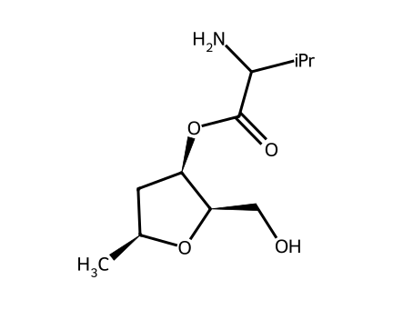 CC(C)C(N)C(=O)O[C@@H]1C[C@H](C)O[C@@H]1CO